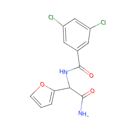 NC(=O)C(NC(=O)c1cc(Cl)cc(Cl)c1)c1ccco1